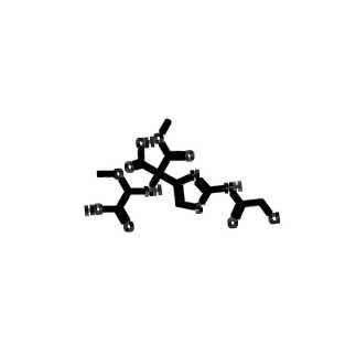 COC(=O)C(NC(OC)C(=O)O)(C(=O)O)c1csc(NC(=O)CCl)n1